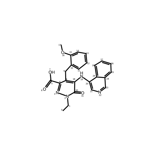 CCn1nc(C(=O)O)c(Cc2ccccc2OC)c(Nc2cncc3ccccc23)c1=O